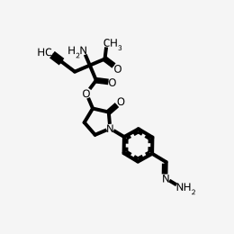 C#CCC(N)(C(C)=O)C(=O)OC1CCN(c2ccc(C=NN)cc2)C1=O